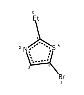 CCc1ncc(Br)s1